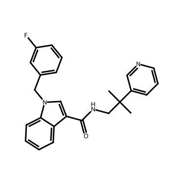 CC(C)(CNC(=O)c1cn(Cc2cccc(F)c2)c2ccccc12)c1cccnc1